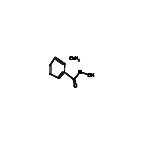 O=C(OO)c1ccccc1.[CaH2]